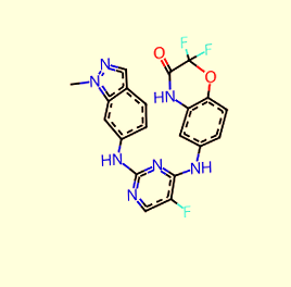 Cn1ncc2ccc(Nc3ncc(F)c(Nc4ccc5c(c4)NC(=O)C(F)(F)O5)n3)cc21